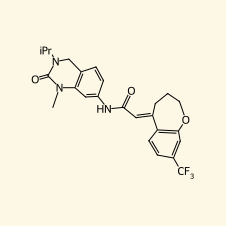 CC(C)N1Cc2ccc(NC(=O)/C=C3\CCCOc4cc(C(F)(F)F)ccc43)cc2N(C)C1=O